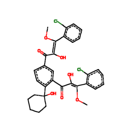 COC(=C(O)C(=O)c1ccc(C2(O)CCCCC2)c(C(=O)C(O)=C(OC)c2ccccc2Cl)c1)c1ccccc1Cl